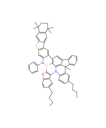 CCCCc1ccc2c(c1)C1(C)c3ccccc3-c3cc4c5c(c31)N2c1c(oc2ccc(CCCC)cc12)B5N(c1ccccc1)c1cc2sc3cc5c(cc3c2cc1-4)C(C)(C)CCC5(C)C